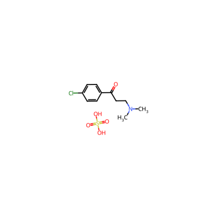 CN(C)CCC(=O)c1ccc(Cl)cc1.O=S(=O)(O)O